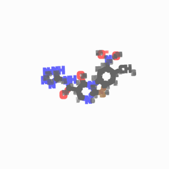 Cc1cc2sc3ncc(C(=O)Nc4nnn[nH]4)c(=O)n3c2cc1[N+](=O)[O-]